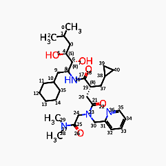 CC(C)C[C@H](O)[C@H](O)[C@H](CC1CCCCC1)NC(=O)[C@@H](CC(=O)N(CC(=O)N(C)C)Cc1ccccn1)CC1CC1